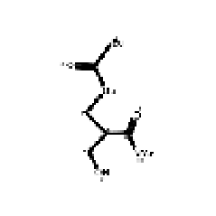 CCC(C)C(=O)OCC(CO)C(=O)NC